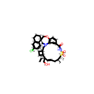 CC[C@]1(CO)/C=C/C[C@H](C)[C@@H](C)S(=O)(=O)NC(=O)c2ccc3c(c2)N(C[C@@H]2CC[C@H]21)C[C@@]1(CCCc2cc(Cl)ccc21)CO3